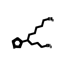 CCCCCCC(CCCC)c1ccsc1